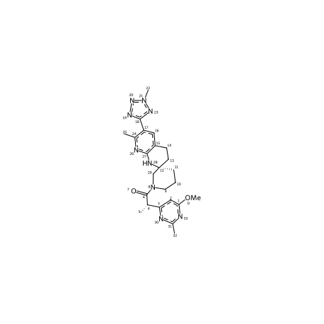 COc1cc([C@H](C)C(=O)N2CCC[C@]3(CCc4cc(-c5nnn(C)n5)c(C)nc4N3)C2)nc(C)n1